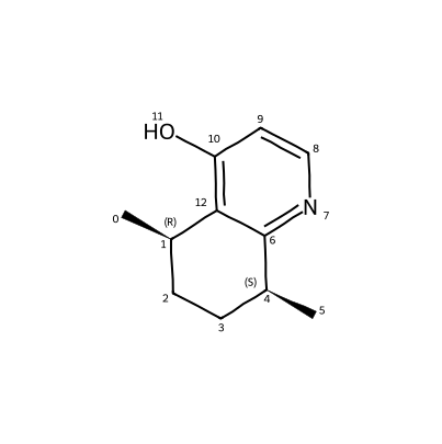 C[C@@H]1CC[C@H](C)c2nccc(O)c21